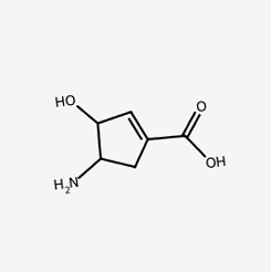 NC1CC(C(=O)O)=CC1O